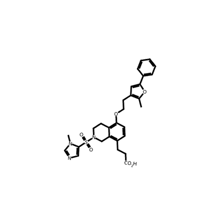 Cc1oc(-c2ccccc2)cc1CCOc1ccc(CCC(=O)O)c2c1CCN(S(=O)(=O)c1cncn1C)C2